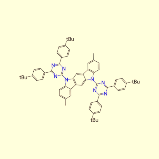 Cc1ccc2c(c1)c1cc3c(cc1n2-c1nc(-c2ccc(C(C)(C)C)cc2)nc(-c2ccc(C(C)(C)C)cc2)n1)c1cc(C)ccc1n3-c1nc(-c2ccc(C(C)(C)C)cc2)nc(-c2ccc(C(C)(C)C)cc2)n1